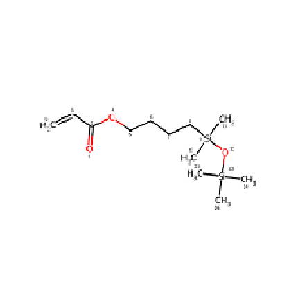 C=CC(=O)OCCCC[Si](C)(C)O[Si](C)(C)C